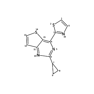 c1csc(-c2nc(C3CC3)nc3ccsc23)n1